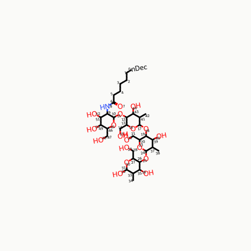 CCCCCCCCCCCCCCCC(=O)NC1C(OC2C(CO)OC(OC3C(CO)OC(OC4C(CO)OC(O)C(C)C4O)C(C)C3O)C(C)C2O)OC(CO)C(O)C1O